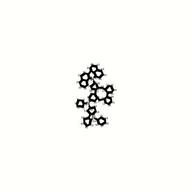 c1ccc(N(c2ccc3c(c2)Cc2ccccc2-c2ccccc2Cc2cc(N4c5c(ccc6ccccc56)-c5cccc6cccc4c56)ccc2-3)c2ccc3c(c2)c2ccccc2n3-c2ccccc2)cc1